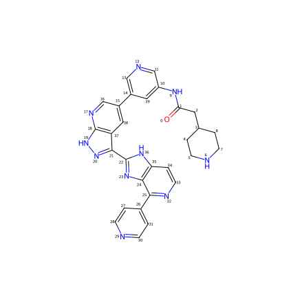 O=C(CC1CCNCC1)Nc1cncc(-c2cnc3[nH]nc(-c4nc5c(-c6ccncc6)nccc5[nH]4)c3c2)c1